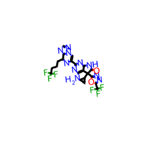 Nc1nc(-c2cn3ncnc3c(CCCC(F)(F)F)n2)nc2c1C(c1nnc(C(F)(F)F)o1)(C1CC1)C(=O)N2